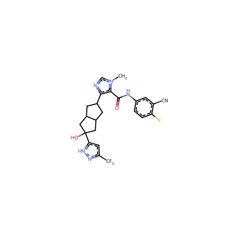 Cn1cnc(C2CC3CC(O)(c4cc(C(F)(F)F)n[nH]4)CC3C2)c1C(=O)Nc1ccc(F)c(C#N)c1